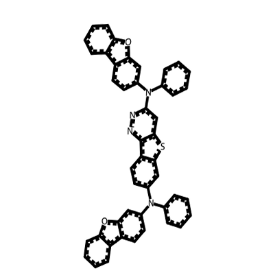 c1ccc(N(c2ccc3c(c2)oc2ccccc23)c2ccc3c(c2)sc2cc(N(c4ccccc4)c4ccc5c(c4)oc4ccccc45)nnc23)cc1